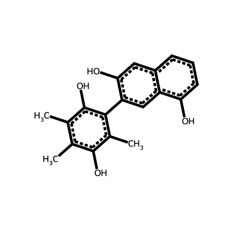 Cc1c(C)c(O)c(-c2cc3c(O)cccc3cc2O)c(C)c1O